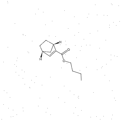 CCCCOC(=O)C1=C[C@@H]2CC[C@H]1C2